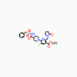 CCCOC(=O)c1cc(F)c(N2CCC(C(=O)NS(=O)(=O)Cc3ccccc3)CC2)nc1CN1CCCC1=O